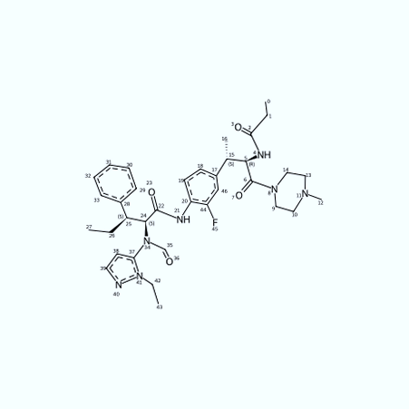 CCC(=O)N[C@@H](C(=O)N1CCN(C)CC1)[C@@H](C)c1ccc(NC(=O)[C@H]([C@@H](CC)c2ccccc2)N(C=O)c2ccnn2CC)c(F)c1